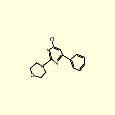 Clc1cc(-c2ccccc2)nc(N2CCOCC2)n1